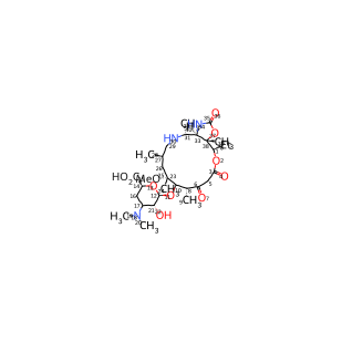 CC[C@H]1OC(=O)CC(=O)[C@H](C)[C@@H](O[C@@H]2O[C@H](C(=O)O)CC(N(C)C)[C@H]2O)[C@](C)(OC)C[C@@H](C)CN[C@H](C)[C@H]2NC(=O)O[C@@]21C